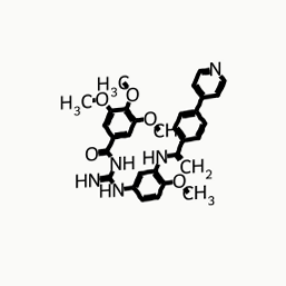 C=C(Nc1cc(NC(=N)NC(=O)c2cc(OC)c(OC)c(OC)c2)ccc1OC)c1ccc(-c2ccncc2)cc1